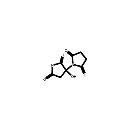 O=C1CC(O)(N2C(=O)CCC2=O)C(=O)[N]1